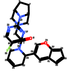 O=C(CN1CC2CCC(C1)N2c1ncc(F)cn1)N1CC=CCC1c1coc2cccc-2c1